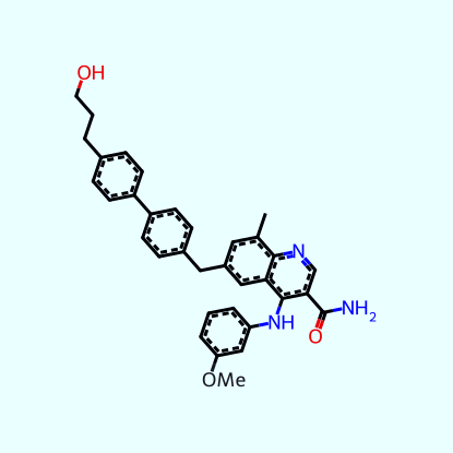 COc1cccc(Nc2c(C(N)=O)cnc3c(C)cc(Cc4ccc(-c5ccc(CCCO)cc5)cc4)cc23)c1